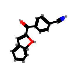 N#Cc1ccc(C(=O)c2cc3ccccc3o2)cc1